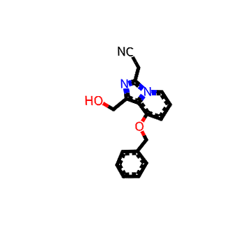 N#CCc1nc(CO)c2c(OCc3ccccc3)cccn12